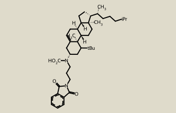 CC(C)CCC[C@@H](C)[C@H]1CC[C@H]2[C@@H]3CC=C4C[C@@H](N(CCCN5C(=O)c6ccccc6C5=O)C(=O)O)CC(C(C)(C)C)[C@]4(C)[C@H]3CC[C@]12C